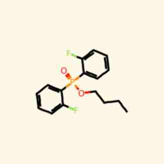 CCCCOP(=O)(c1ccccc1F)c1ccccc1F